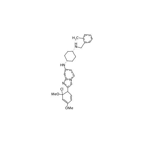 COC1=CC(Cl)(OC)C(c2cn3ccc(N[C@H]4CC[C@@H](NCc5ccccc5C)CC4)cc3n2)C=C1